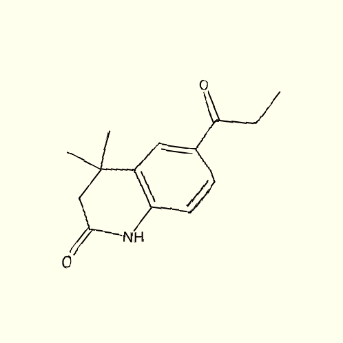 CCC(=O)c1ccc2c(c1)C(C)(C)CC(=O)N2